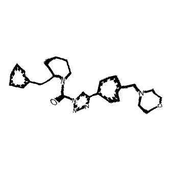 O=C(N1CCCCC1Cc1ccccc1)n1cc(-c2ccc(CN3CCOCC3)cc2)nn1